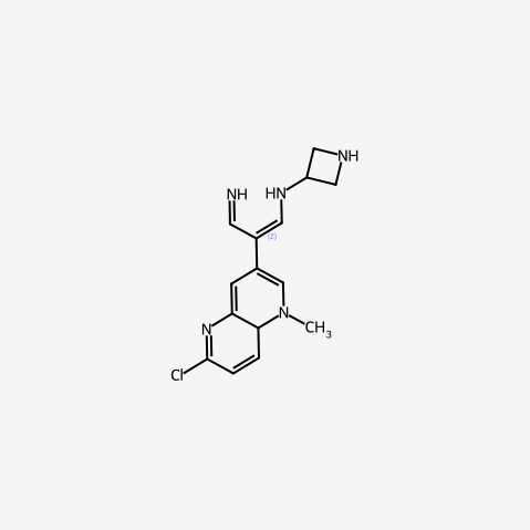 CN1C=C(/C(C=N)=C/NC2CNC2)C=C2N=C(Cl)C=CC21